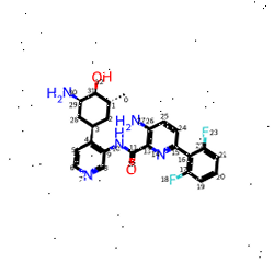 C[C@@H]1C[C@@H](c2ccncc2NC(=O)c2nc(-c3c(F)cccc3F)ccc2N)C[C@@H](N)[C@H]1O